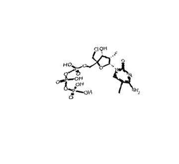 Cc1cn([C@@H]2O[C@](CCl)(COP(=O)(O)OP(=O)(O)OP(=O)(O)O)[C@H](O)[C@@H]2F)c(=O)nc1N